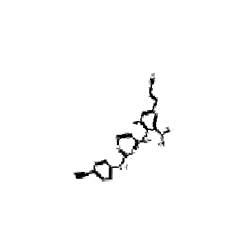 [2H]C([2H])c1cc(/C=C/C#N)cc(C)c1Nc1ccnc(Nc2ccc(C#C)cc2)n1